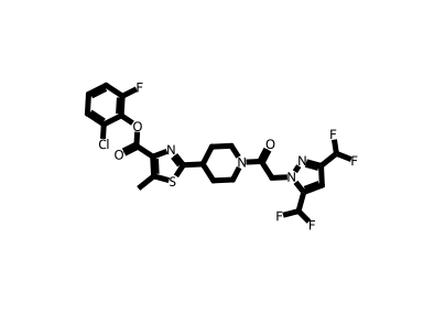 Cc1sc(C2CCN(C(=O)Cn3nc(C(F)F)cc3C(F)F)CC2)nc1C(=O)Oc1c(F)cccc1Cl